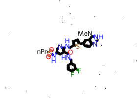 CCCS(=O)(=O)Nc1cnc(NCc2ccc(-c3ccc4c(c3)C(NC)NC=N4)s2)c(C(=O)NCc2ccc(F)c(F)c2)c1